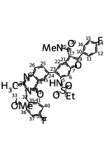 CCS(=O)(=O)Nc1cc2oc(-c3ccc(F)cc3)c(C(=O)NC)c2cc1-c1ccc2nc(C)n([C@@H](COC)c3ccc(F)cc3)c(=O)c2c1